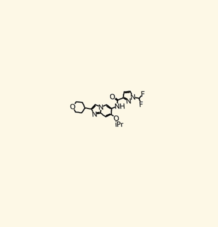 CC(C)Oc1cc2nc(C3CCOCC3)cn2cc1NC(=O)c1ccn(C(F)F)n1